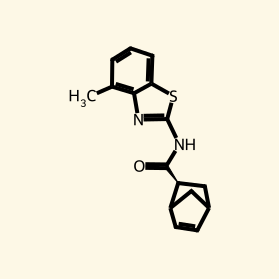 Cc1cccc2sc(NC(=O)[C@H]3CC4C=CC3C4)nc12